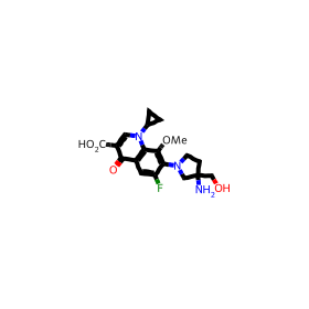 COc1c(N2CCC(N)(CO)C2)c(F)cc2c(=O)c(C(=O)O)cn(C3CC3)c12